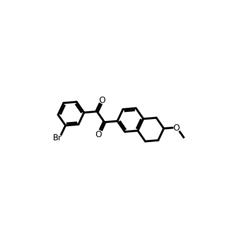 COC1CCc2cc(C(=O)C(=O)c3cccc(Br)c3)ccc2C1